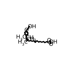 CC(C)(CCCCCCCCCCCCCS(=O)(=O)O)CC(C)(C)c1ccc(OCCO)cc1